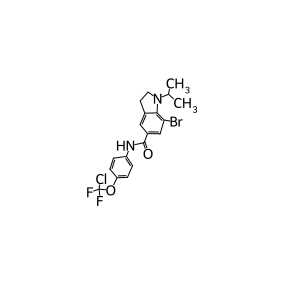 CC(C)N1CCc2cc(C(=O)Nc3ccc(OC(F)(F)Cl)cc3)cc(Br)c21